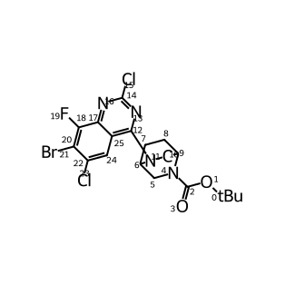 CC(C)(C)OC(=O)N1CC2CCC1CN2c1nc(Cl)nc2c(F)c(Br)c(Cl)cc12